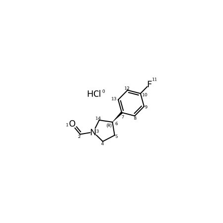 Cl.O=CN1CC[C@H](c2ccc(F)cc2)C1